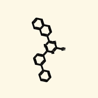 CC(C)c1nc(-c2cccc(-c3ccccc3)c2)nc(-c2ccc3ccccc3c2)n1